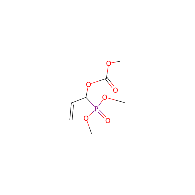 C=CC(OC(=O)OC)P(=O)(OC)OC